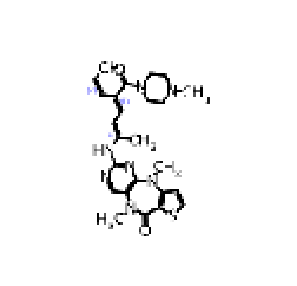 C\C=C/C(=C\C=C(/C)Nc1ncc2c(n1)N(C)c1ccsc1C(=O)N2C)C(=O)N1CCN(C)CC1